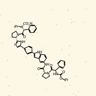 CC(C)OC(=O)N[C@@H](C(=O)N1CCC[C@H]1C(=O)Nc1ccc2[nH]c(-c3ccc(-c4cnc([C@@H]5CCCN5C(=O)[C@@H](c5ccccc5)N(C(=O)O)C(C)C)[nH]4)cc3)cc2c1)c1ccccc1